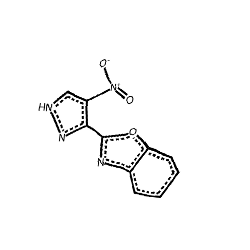 O=[N+]([O-])c1c[nH]nc1-c1nc2ccccc2o1